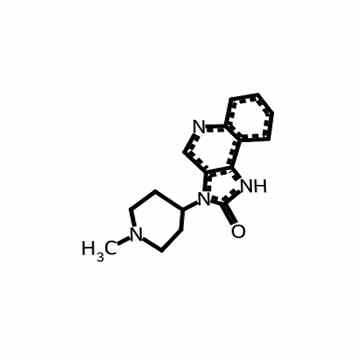 CN1CCC(n2c(=O)[nH]c3c4ccccc4ncc32)CC1